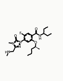 CCC[C@H](C)Oc1cc(-n2nc(CNC)n(C)c2=O)c(F)cc1C(=O)NC(CC)CC